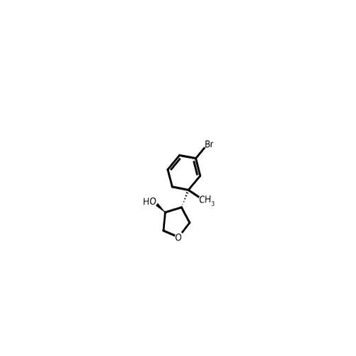 CC1([C@@H]2COC[C@H]2O)C=C(Br)C=CC1